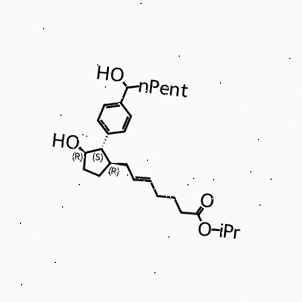 CCCCCC(O)c1ccc([C@@H]2[C@@H](CC=CCCCC(=O)OC(C)C)CC[C@H]2O)cc1